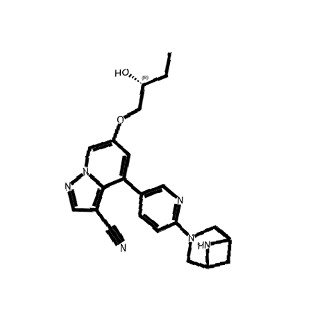 CC[C@@H](O)COc1cc(-c2ccc(N3CC4CC(C3)N4)nc2)c2c(C#N)cnn2c1